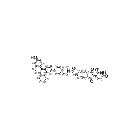 O=C1CC[C@@H](N2C(=O)c3cc4c(cc3C2=O)CN(CC(=O)N2CCC3(CC2)CCN(c2ccc([C@@H]5c6ccc(O)cc6CC[C@@H]5C5CCCCC5)cc2)CC3)C4)C(=O)N1